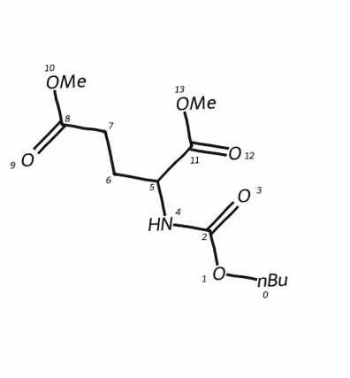 CCCCOC(=O)NC(CCC(=O)OC)C(=O)OC